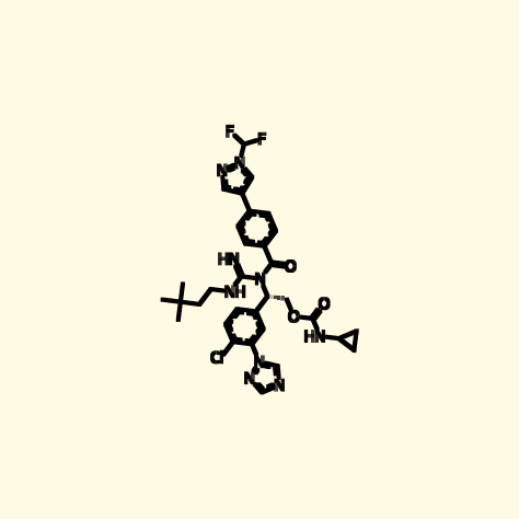 CC(C)(C)CCNC(=N)N(C(=O)c1ccc(-c2cnn(C(F)F)c2)cc1)[C@H](COC(=O)NC1CC1)c1ccc(Cl)c(-n2cncn2)c1